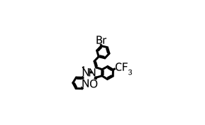 CN(c1ccccn1)N1C(=O)c2ccc(C(F)(F)F)cc2C1=Cc1cccc(Br)c1